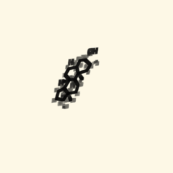 C[C@@H]1C[C@@]2(C)[C@@H](CC[C@@H]3[C@@H]2CC[C@]2(C)[C@H](C)CC[C@@H]32)C[C@@H]1O